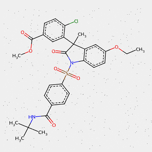 CCOc1ccc2c(c1)C(C)(c1cc(C(=O)OC)ccc1Cl)C(=O)N2S(=O)(=O)c1ccc(C(=O)NC(C)(C)C)cc1